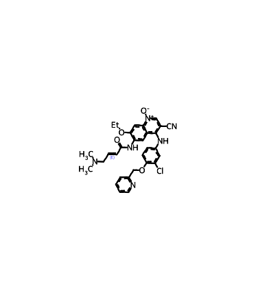 CCOc1cc2c(cc1NC(=O)/C=C/CN(C)C)c(Nc1ccc(OCc3ccccn3)c(Cl)c1)c(C#N)c[n+]2[O-]